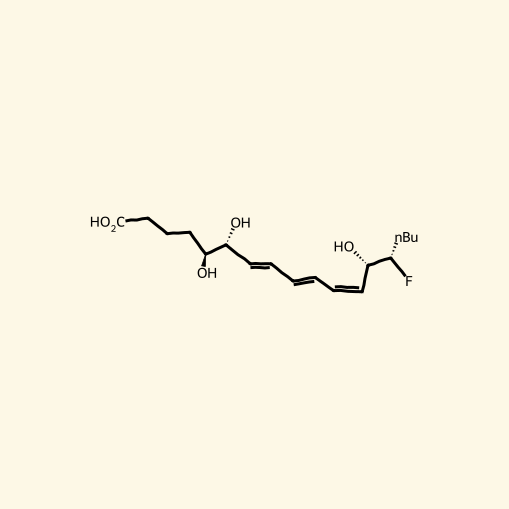 CCCC[C@H](F)[C@@H](O)\C=C/C=C/C=C/[C@@H](O)[C@@H](O)CCCC(=O)O